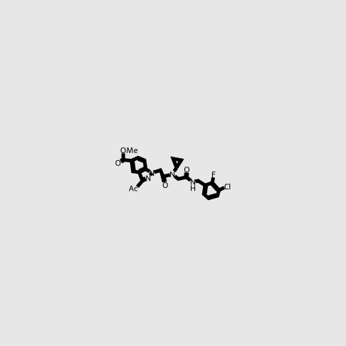 COC(=O)c1ccc2c(c1)c(C(C)=O)nn2CC(=O)N(CC(=O)NCc1cccc(Cl)c1F)C1CC1